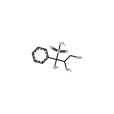 CS(=O)(=O)C(O)(c1ccccc1)C(N)CO